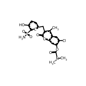 Cc1c(Cc2ccc(O)c(S(N)(=O)=O)c2)c(=O)oc2cc(OC(=O)N(C)C)c(Cl)cc12